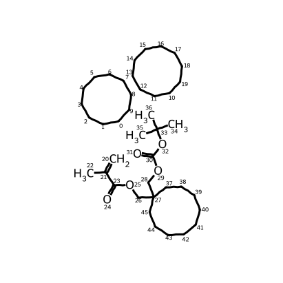 C1CCCCCCCCC1.C1CCCCCCCCC1.C=C(C)C(=O)OCC1(COC(=O)OC(C)(C)C)CCCCCCCCC1